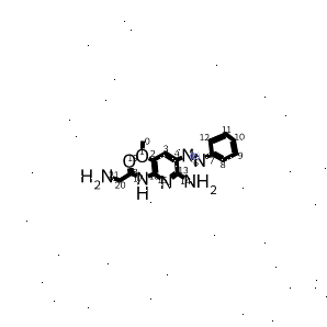 COc1cc(/N=N/c2ccccc2)c(N)nc1NC(=O)CN